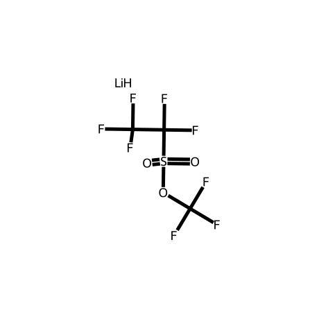 O=S(=O)(OC(F)(F)F)C(F)(F)C(F)(F)F.[LiH]